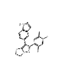 Cc1cc(-c2nn3c(c2-c2ccc4[nH]ncc4c2)CCC3)c(F)cc1F